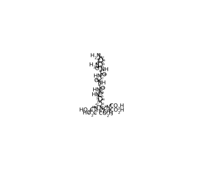 C[C@@H](CN(CC(=O)O)CC(=O)O)N(CC(=O)O)[C@H](Cc1ccc(NC(=S)NC(=O)CNC(=O)CNC(=O)CNC(Cc2ccc(N)cc2)C(N)=O)cc1)CN(CC(=O)O)CC(=O)O